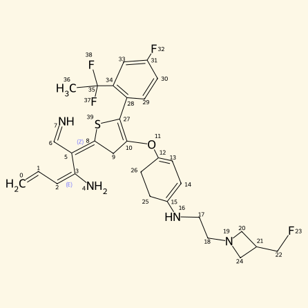 C=C/C=C(N)\C(C=N)=C1/CC(OC2=CC=C(NCCN3CC(CF)C3)CC2)=C(c2ccc(F)cc2C(C)(F)F)S1